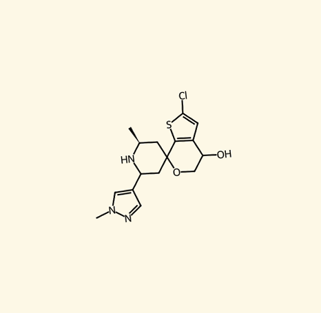 C[C@H]1CC2(CC(c3cnn(C)c3)N1)OCC(O)c1cc(Cl)sc12